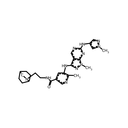 Cc1ncc(C(=O)NCCN2CC3CCC2CC3)cc1Nc1nn(C)c2nc(Nc3cnn(C)c3)ncc12